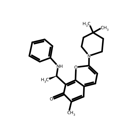 Cc1cc2ccc(N3CCC(C)(C)CC3)oc-2c([C@@H](C)Nc2ccccc2)c1=O